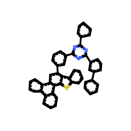 c1ccc(-c2cccc(-c3nc(-c4ccccc4)nc(-c4cccc(-c5cc6c7ccccc7c7ccccc7c6c6sc7ccccc7c56)c4)n3)c2)cc1